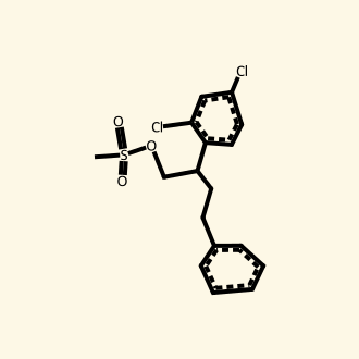 CS(=O)(=O)OCC(CCc1ccccc1)c1ccc(Cl)cc1Cl